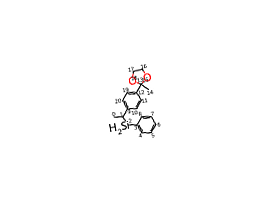 CC([SiH2]c1ccccc1)c1ccc(C2(C)OCCO2)cc1